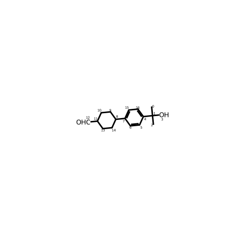 CC(C)(O)c1ccc(C2CCC(C=O)CC2)cc1